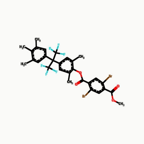 COC(=O)c1cc(Br)c(C(=O)Oc2c(C)cc(C(c3cc(C)c(C)c(C)c3)(C(F)(F)F)C(F)(F)F)cc2C)cc1Br